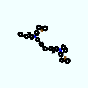 CC1(C)c2cc(-c3ccccc3)ccc2-c2ccc(N(c3ccc(-c4ccc(-c5cccc(-c6ccc7c(c6)C(C)(C)c6cc(N(c8ccc(-c9cccc%10c9sc9ccccc9%10)cc8)c8cccc9ccccc89)ccc6-7)c5)cc4)cc3)c3ccc(-c4cccc5c4sc4ccccc45)cc3)cc21